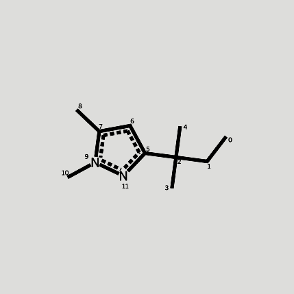 CCC(C)(C)c1cc(C)n(C)n1